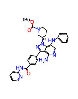 CC(C)(C)OC(=O)N1CCC[C@@H](n2nc(-c3ccc(C(=O)Nc4ccccn4)cc3)c3c(N)ncc(Nc4ccccc4)c32)C1